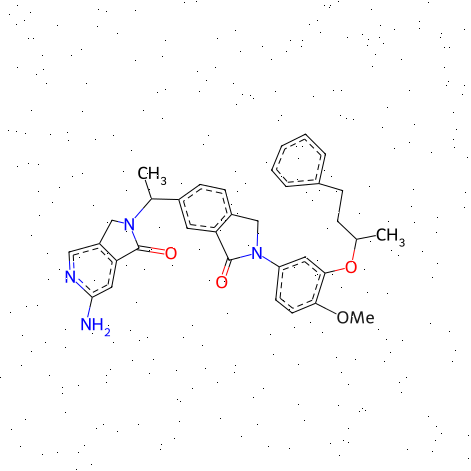 COc1ccc(N2Cc3ccc(C(C)N4Cc5cnc(N)cc5C4=O)cc3C2=O)cc1OC(C)CCc1ccccc1